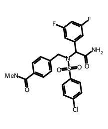 CNC(=O)c1ccc(CN(C(C(N)=O)c2cc(F)cc(F)c2)S(=O)(=O)c2ccc(Cl)cc2)cc1